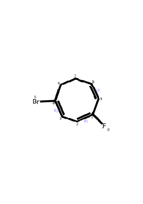 FC1=C/C=C(/Br)CC/C=C\1